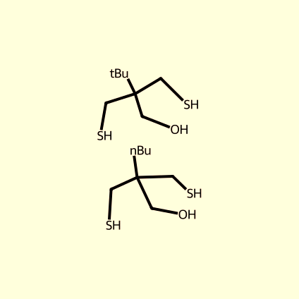 CC(C)(C)C(CO)(CS)CS.CCCCC(CO)(CS)CS